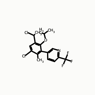 Cc1c(Cl)cc(C(C)Cl)c(OC(C)C)c1-c1ccc(C(F)(F)F)nc1